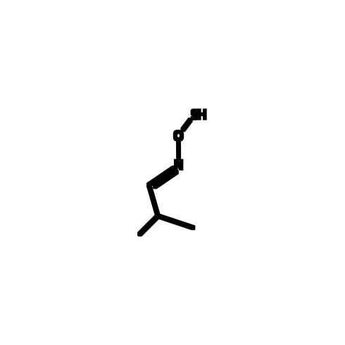 CC(C)C=NOS